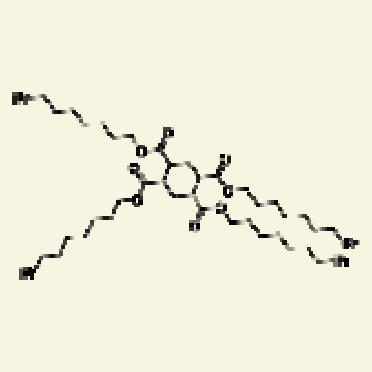 CC(C)CCCCCCCOC(=O)C1CC(C(=O)OCCCCCCCC(C)C)C(C(=O)OCCCCCCCC(C)C)CC1C(=O)OCCCCCCCC(C)C